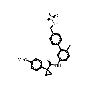 COc1ccc(C2(C(=O)Nc3ccc(C)c(-c4ccc(CNS(C)(=O)=O)cc4)c3)CC2)cc1